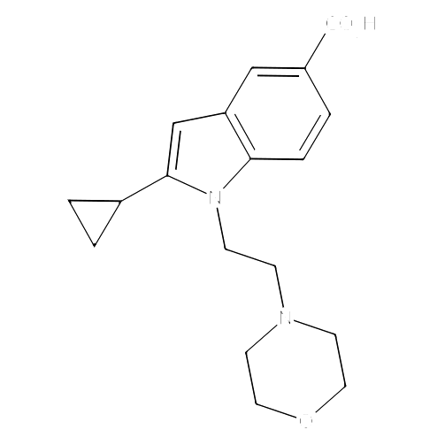 O=C(O)c1ccc2c(c1)cc(C1CC1)n2CCN1CCOCC1